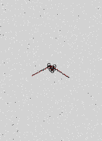 CCCCCCCCCCCCCCCCCCOC(=O)C(C)(COC(=O)C=O)COC(=O)C(=O)CCCCCCCCCCCCCCCCC